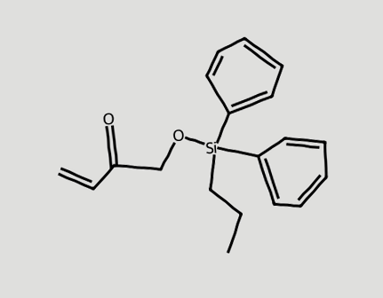 C=CC(=O)CO[Si](CCC)(c1ccccc1)c1ccccc1